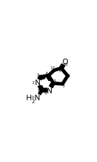 Nc1ncc2c(n1)CCC(=O)C2